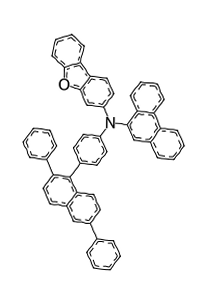 c1ccc(-c2ccc3c(-c4ccc(N(c5ccc6c(c5)oc5ccccc56)c5cc6ccccc6c6ccccc56)cc4)c(-c4ccccc4)ccc3c2)cc1